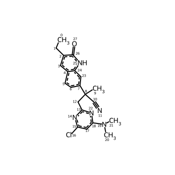 CCc1cc2ccc(C(C)(C#N)Cc3nc(Cl)cc(N(C)C)n3)cc2[nH]c1=O